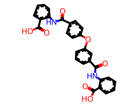 O=C(Nc1ccccc1C(=O)O)c1ccc(Oc2cccc(C(=O)Nc3ccccc3C(=O)O)c2)cc1